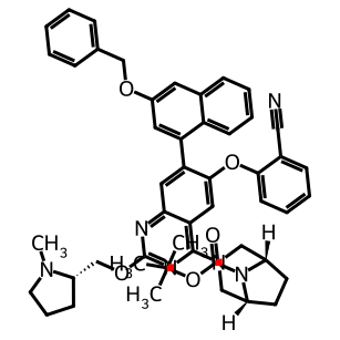 CN1CCC[C@H]1COc1nc(N2C[C@H]3CC[C@@H](C2)N3C(=O)OC(C)(C)C)c2cc(Oc3ccccc3C#N)c(-c3cc(OCc4ccccc4)cc4ccccc34)cc2n1